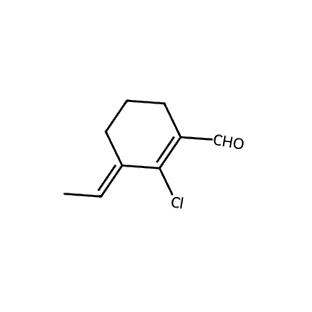 C/C=C1\CCCC(C=O)=C1Cl